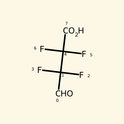 O=CC(F)(F)C(F)(F)C(=O)O